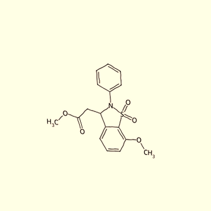 COC(=O)CC1c2cccc(OC)c2S(=O)(=O)N1c1ccccc1